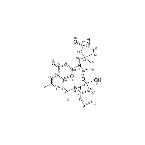 Cc1cc([C@@H](C)Nc2ccccc2C(=O)O)c2oc(N3CCCC4(CCNC(=O)C4)C3)cc(=O)c2c1